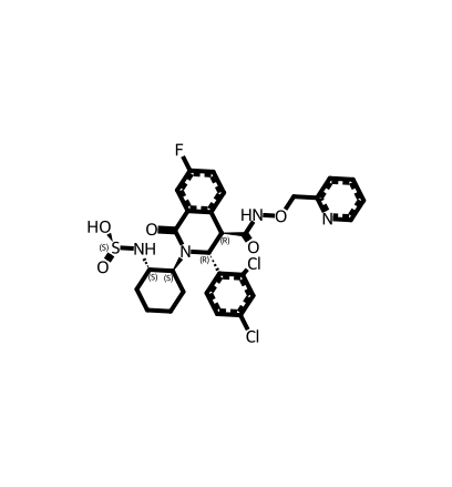 O=C(NOCc1ccccn1)[C@@H]1c2ccc(F)cc2C(=O)N([C@H]2CCCC[C@@H]2N[S@@](=O)O)[C@H]1c1ccc(Cl)cc1Cl